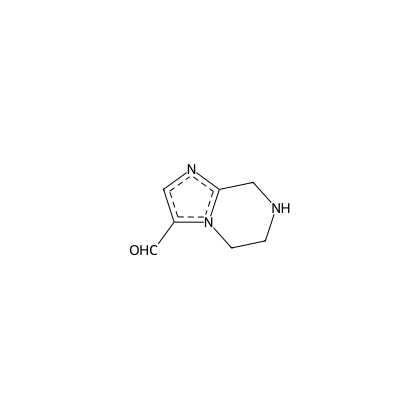 O=Cc1cnc2n1CCNC2